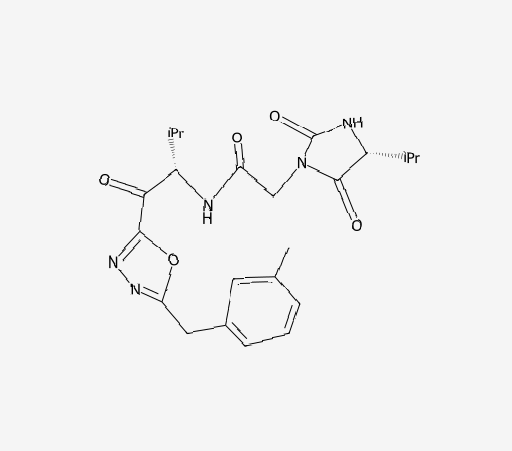 Cc1cccc(Cc2nnc(C(=O)[C@@H](NC(=O)CN3C(=O)N[C@H](C(C)C)C3=O)C(C)C)o2)c1